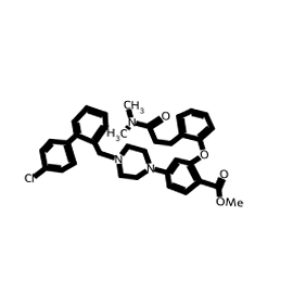 COC(=O)c1ccc(N2CCN(Cc3ccccc3-c3ccc(Cl)cc3)CC2)cc1Oc1ccccc1CCC(=O)N(C)C